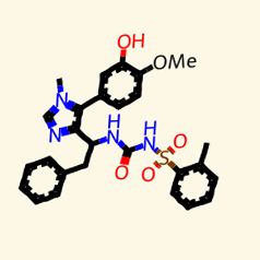 COc1ccc(-c2c(C(Cc3ccccc3)NC(=O)NS(=O)(=O)c3ccccc3C)ncn2C)cc1O